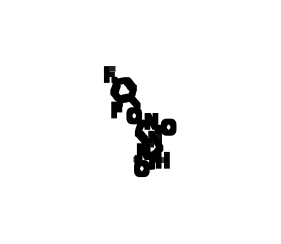 O=c1nc(OCc2ccc(F)cc2F)cc2n1C[C@H]1COCN21